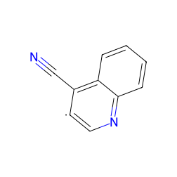 N#Cc1[c]cnc2ccccc12